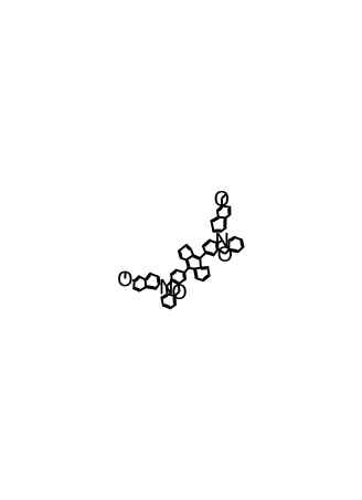 COc1ccc2cc(N3c4ccccc4Oc4cc(-c5c6ccccc6c(-c6ccc7c(c6)Oc6ccccc6N7c6ccc7cc(OC)ccc7c6)c6ccccc56)ccc43)ccc2c1